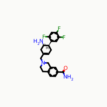 NC(=O)c1ccc2c(c1)CN(CC1=CC[C@H](c3cc(F)c(F)cc3F)[C@@H](N)C1)CC2